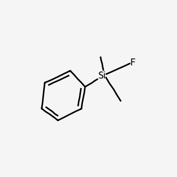 C[Si](C)(F)c1ccccc1